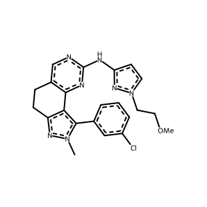 COCCn1ccc(Nc2ncc3c(n2)-c2c(nn(C)c2-c2cccc(Cl)c2)CC3)n1